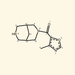 Cc1ncoc1C(=O)N1CC2CNCC(C2)C1